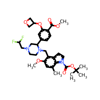 COC(=O)c1ccc(C2CN(CC(F)F)CCN2Cc2c(OC)cc(C)c3c2ccn3C(=O)OC(C)(C)C)cc1OC1COC1